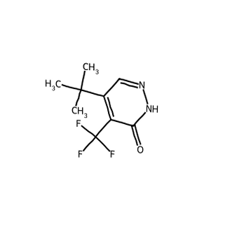 CC(C)(C)c1cn[nH]c(=O)c1C(F)(F)F